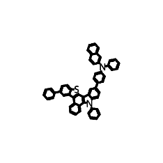 c1ccc(-c2ccc3sc4c(c3c2)c2ccccc2c2c4c3cc(-c4ccc(N(c5ccccc5)c5ccc6ccccc6c5)cc4)ccc3n2-c2ccccc2)cc1